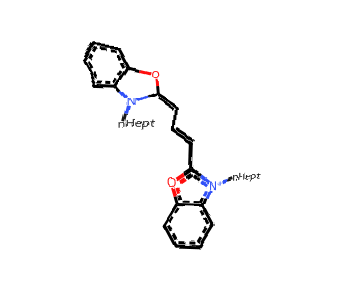 CCCCCCCN1C(=CC=Cc2oc3ccccc3[n+]2CCCCCCC)Oc2ccccc21